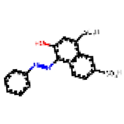 O=S(=O)(O)c1ccc2c(N=Nc3ccccc3)c(O)cc(S(=O)(=O)O)c2c1